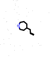 C=CCC1CCC[N]CC1